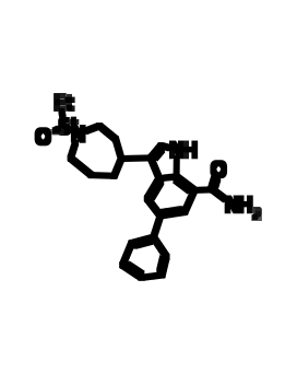 CC[S+]([O-])N1CCCC(c2c[nH]c3c(C(N)=O)cc(-c4ccccc4)cc23)CC1